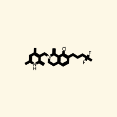 C=C1NC(C)=CC(C)=C1CN1CCc2ccc(CCCC(C)(F)F)c(Cl)c2C1=C